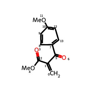 C=C(C(=O)OC)C(=O)c1ccc(OC)cc1